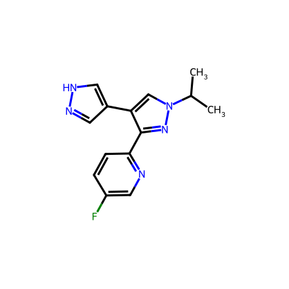 CC(C)n1cc(-c2cn[nH]c2)c(-c2ccc(F)cn2)n1